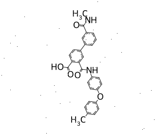 CNC(=O)c1cccc(-c2ccc(C(=O)O)c(C(=O)Nc3ccc(Oc4ccc(C)cc4)cc3)c2)c1